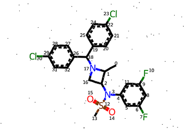 CC1C(N(c2cc(F)cc(F)c2)S(C)(=O)=O)CN1C(c1ccc(Cl)cc1)c1ccc(Cl)cc1